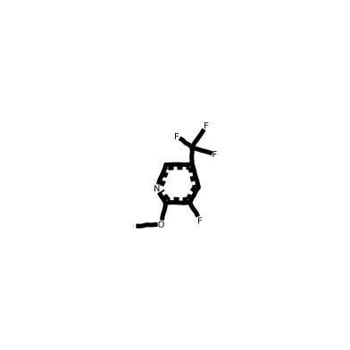 [CH2]Oc1ncc(C(F)(F)F)cc1F